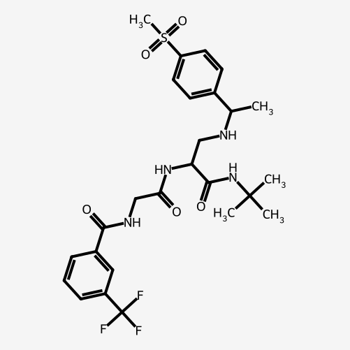 CC(NCC(NC(=O)CNC(=O)c1cccc(C(F)(F)F)c1)C(=O)NC(C)(C)C)c1ccc(S(C)(=O)=O)cc1